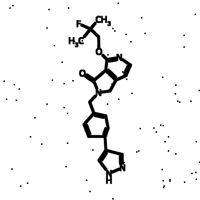 CC(C)(F)COc1nccc2c1C(=O)N(Cc1ccc(-c3cn[nH]c3)cc1)C2